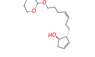 O[C@@H]1CC=C[C@H]1CC/C=C\CCCOC1CCCCO1